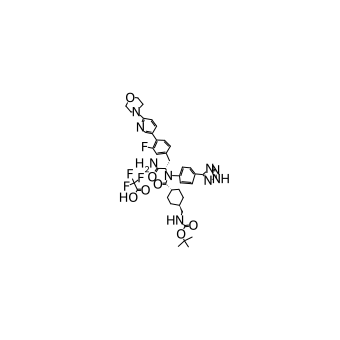 CC(C)(C)OC(=O)NC[C@H]1CC[C@H](C(=O)N(c2ccc(-c3nn[nH]n3)cc2)[C@@H](Cc2ccc(-c3ccc(N4CCOCC4)nc3)c(F)c2)C(N)=O)CC1.O=C(O)C(F)(F)F